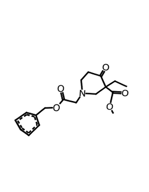 CCC1(C(=O)OC)CN(CC(=O)OCc2ccccc2)CCC1=O